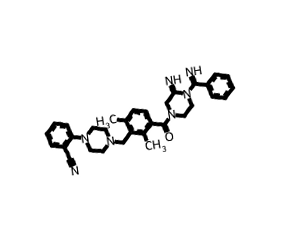 Cc1ccc(C(=O)N2CCN(C(=N)c3ccccc3)C(=N)C2)c(C)c1CN1CCN(c2ccccc2C#N)CC1